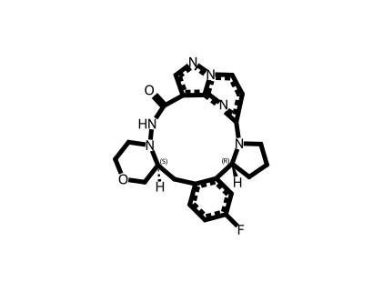 O=C1NN2CCOC[C@@H]2Cc2ccc(F)cc2[C@H]2CCCN2c2ccn3ncc1c3n2